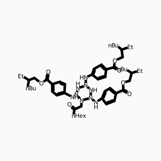 CCCCCCC(=O)CN1N(Nc2ccc(C(=O)OCC(CC)CCCC)cc2)NN(Nc2ccc(C(=O)OCC(CC)CCCC)cc2)NN1Nc1ccc(C(=O)OCC(CC)CCCC)cc1